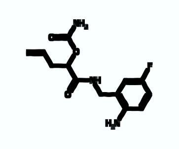 C=CCC(OC(N)=O)C(=O)NCc1cc(F)ccc1N